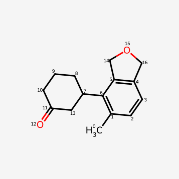 Cc1ccc2c(c1C1CCCC(=O)C1)COC2